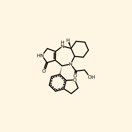 O=C1NCC2=C1[C@@H](c1cccc3c1OCC3)N(C(=O)CO)C1CCCC[C@H]1N2